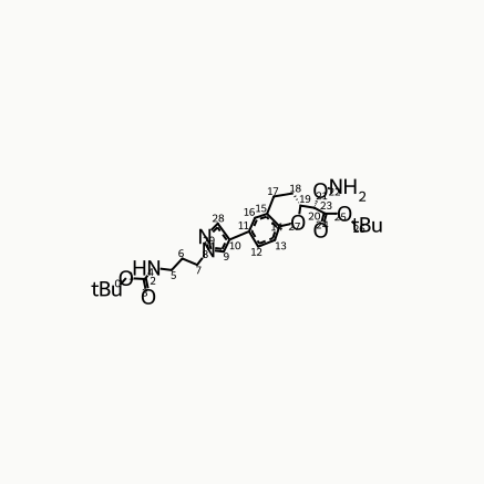 CC(C)(C)OC(=O)NCCCn1cc(-c2ccc3c(c2)CC[C@H]([C@H](ON)C(=O)OC(C)(C)C)O3)cn1